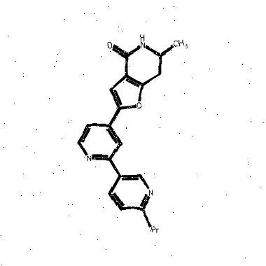 CC1Cc2oc(-c3ccnc(-c4ccc(C(C)C)nc4)c3)cc2C(=O)N1